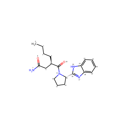 CCCC[C@H](CC(N)=O)C(=O)N1CCC[C@H]1c1nc2ccccc2[nH]1